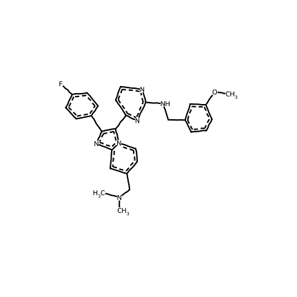 COc1cccc(CNc2nccc(-c3c(-c4ccc(F)cc4)nc4cc(CN(C)C)ccn34)n2)c1